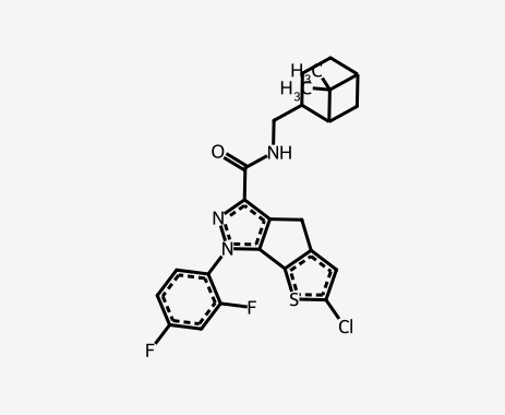 CC1(C)C2CCC(CNC(=O)c3nn(-c4ccc(F)cc4F)c4c3Cc3cc(Cl)sc3-4)C1C2